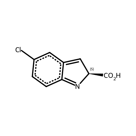 O=C(O)[C@@H]1C=c2cc(Cl)ccc2=N1